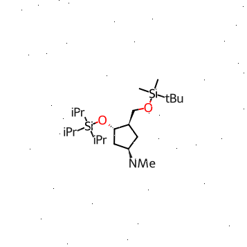 CN[C@@H]1C[C@H](CO[Si](C)(C)C(C)(C)C)[C@@H](O[Si](C(C)C)(C(C)C)C(C)C)C1